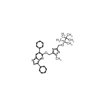 Cn1nc(CO[Si](C)(C)C(C)(C)C)nc1COc1nn2c(-c3ccccc3)nnc2cc1-c1ccccc1